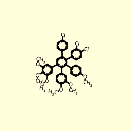 COc1ccc(-c2c(-c3ccc(Cl)c(Cl)c3)c(-c3ccc(Cl)cc3)[c]c(-c3cc(OC)c(OC)c(OC)c3)c2-c2ccc(OC)c(OC)c2)cc1